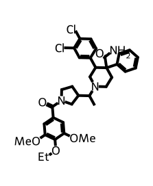 CCOc1c(OC)cc(C(=O)N2CCC(C(C)N3CCC(C(N)=O)(c4ccccc4)C(c4ccc(Cl)c(Cl)c4)C3)C2)cc1OC